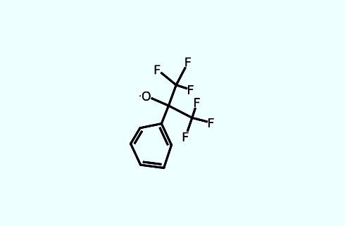 [O]C(c1ccccc1)(C(F)(F)F)C(F)(F)F